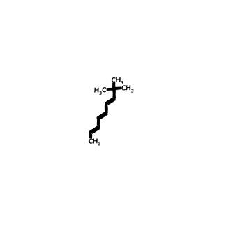 CC=CC=CC=CC(C)(C)C